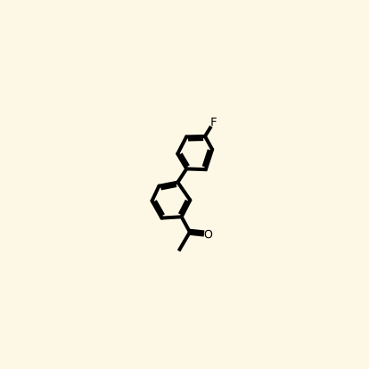 CC(=O)c1cccc(-c2ccc(F)cc2)c1